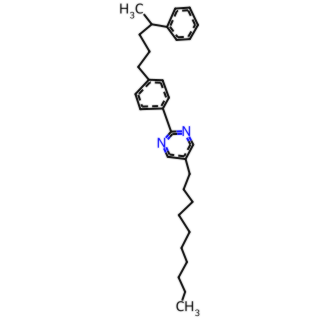 CCCCCCCCCCc1cnc(-c2ccc(CCCC(C)c3ccccc3)cc2)nc1